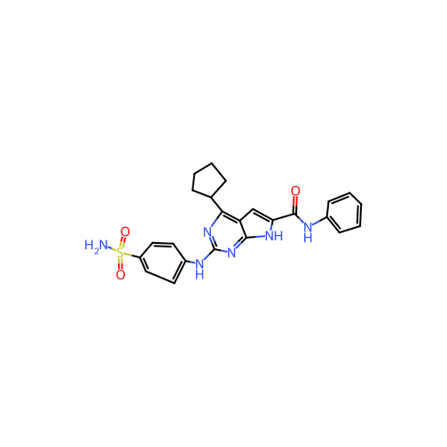 NS(=O)(=O)c1ccc(Nc2nc(C3CCCC3)c3cc(C(=O)Nc4ccccc4)[nH]c3n2)cc1